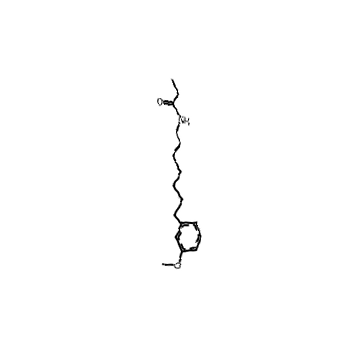 CCC(=O)NCCCCCCCc1cccc(OC)c1